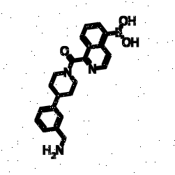 NCc1cccc(C2CCN(C(=O)c3nccc4c(B(O)O)cccc34)CC2)c1